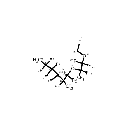 CC(F)(F)C(F)(F)C(F)(F)C(F)(C(F)(F)F)C(F)(F)OC(F)(C(F)(F)F)C(F)(F)OCF